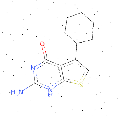 Nc1nc(=O)c2c(C3CCCCC3)csc2[nH]1